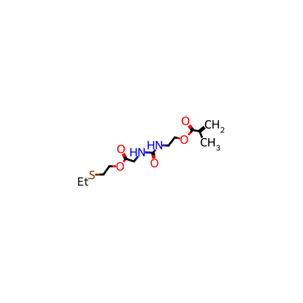 C=C(C)C(=O)OCCNC(=O)NCC(=O)OCCSCC